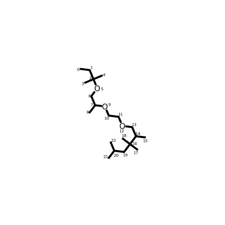 CCC(C)(C)OCC(C)OCCOCC(C)C(C)(C)CC(C)C